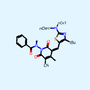 CCCCCCCCCCN(CCCCCCCC)c1nc(C(C)(C)C)c(/C=C2\C(=O)N(N(C)C(=O)c3ccccc3)C(=O)C(C#N)=C2C)s1